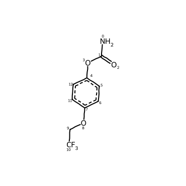 NC(=O)Oc1ccc(OCC(F)(F)F)cc1